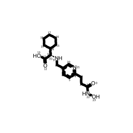 O=C(CCc1ccc(CN[C@H](C(=O)O)C2CCCCC2)cn1)NO